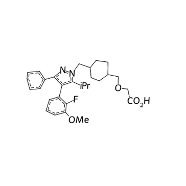 COc1cccc(-c2c(-c3ccccc3)nn(CC3CCC(COCC(=O)O)CC3)c2C(C)C)c1F